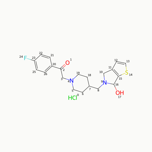 Cl.O=C(CN1CCC(CN2Cc3ccsc3C2O)CC1)c1ccc(F)cc1